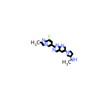 CNC1CCN(c2cnc3nc(-c4cc(F)c5nc(C)cn5c4)ncc3c2)C1